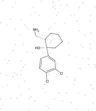 NC[C@@H]1CCCC[C@@]1(O)c1ccc(Cl)c(Cl)c1